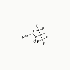 CC(C(=O)CC#N)(C(F)(F)F)C(F)(F)F